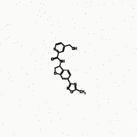 Cc1nc(-c2ccc3c(c2)OCC3NC(=O)c2cc(CO)ccn2)no1